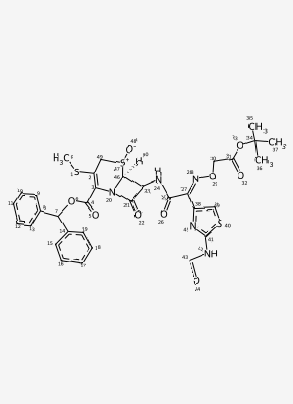 CSC1=C(C(=O)OC(c2ccccc2)c2ccccc2)N2C(=O)C(NC(=O)C(=NOCC(=O)OC(C)(C)C)c3csc(NC=O)n3)[C@@H]2[S+]([O-])C1